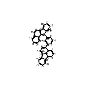 C[C@@]12C3=CC=CC1C(c1cccc(-n4c5ncccc5c5ccc6ccccc6c54)c1)=CC=C2c1ccccc13